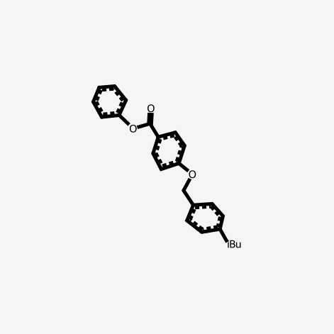 CCC(C)c1ccc(COc2ccc(C(=O)Oc3ccccc3)cc2)cc1